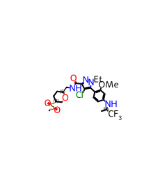 CCn1nc(C(=O)NC[C@@H]2CC[C@@H](S(C)(=O)=O)CO2)c(Cl)c1-c1ccc(N[C@H](C)C(F)(F)F)cc1OC